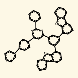 c1ccc(-c2nc(-c3ccc(-c4ccncc4)cc3)cc(-c3cc(-c4cccc5c4oc4ccccc45)cc(-c4cccc5c4oc4ccccc45)c3)n2)cc1